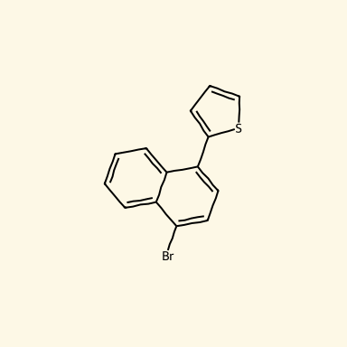 Brc1ccc(-c2cccs2)c2ccccc12